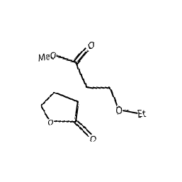 CCOCCC(=O)OC.O=C1CCCO1